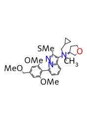 COCc1cc(OC)c(-c2cccc3c([N+](C)(CC4CC4)C4CCOC4)c(SC)nn23)c(OC)c1